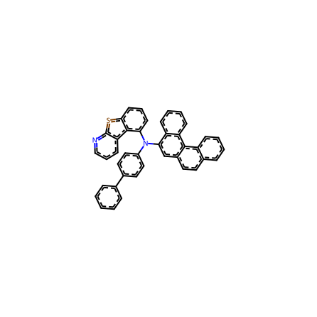 c1ccc(-c2ccc(N(c3cc4ccc5ccccc5c4c4ccccc34)c3cccc4sc5ncccc5c34)cc2)cc1